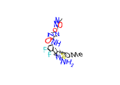 COC[C@@]1(C)SC(N)=N[C@](C)(c2cc(NC(=O)c3cnc(OCc4nnc(C)o4)cn3)cc(F)c2F)C1C